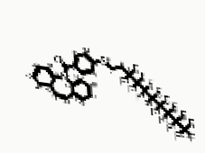 O=C(c1ccc(SCCC(F)(F)C(F)(F)C(F)(F)C(F)(F)C(F)(F)C(F)(F)C(F)(F)C(F)(F)F)cc1)N1c2ccccc2C=Cc2ccccc21